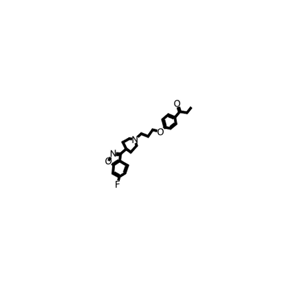 CCC(=O)c1ccc(OCCCN2CCC(c3noc4cc(F)ccc34)CC2)cc1